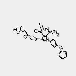 C=CC(=O)N1CC[C@H](c2cn(-c3ccc(Oc4ccccc4)cc3)c3c(N)n[nH]c(=O)c23)C1